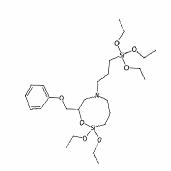 CCO[Si](CCCN1CCC[Si](OCC)(OCC)OC(COc2ccccc2)C1)(OCC)OCC